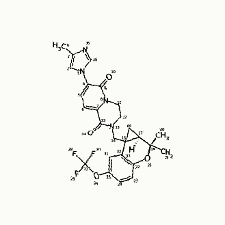 Cc1cn(-c2ccc3n(c2=O)CCN(CC24C[C@H]2C(C)(C)Oc2ccc(OC(F)(F)F)cc24)C3=O)cn1